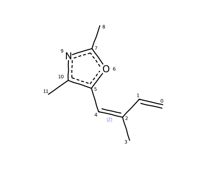 C=C/C(C)=C\c1oc(C)nc1C